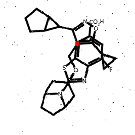 O=C(O)c1cc(F)c2nc(N3C4CCC3CC(OCc3c(C5C6CCCC65)noc3C3CC3)C4)sc2c1